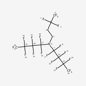 FC(F)(F)C(F)(F)CCN(C(F)(F)C(F)(F)C(F)(F)C(F)(F)F)C(F)(F)C(F)(F)C(F)(F)C(F)(F)F